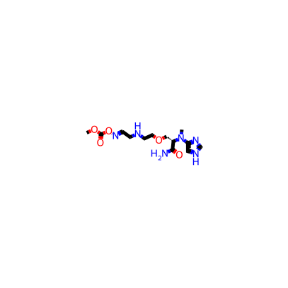 COC(=O)ON=CCNCCOC[C@@H](C(N)=O)N(C)c1c[nH]cn1